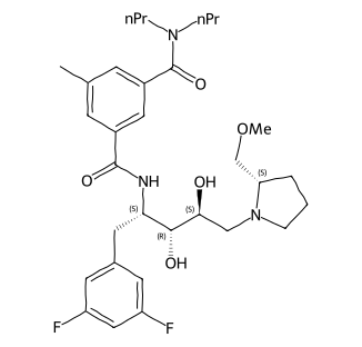 CCCN(CCC)C(=O)c1cc(C)cc(C(=O)N[C@@H](Cc2cc(F)cc(F)c2)[C@@H](O)[C@@H](O)CN2CCC[C@H]2COC)c1